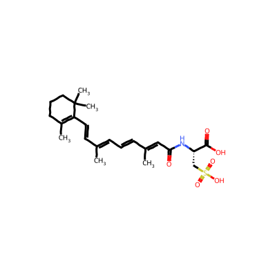 CC(C=CC1=C(C)CCCC1(C)C)=CC=C/C(C)=C/C(=O)N[C@@H](CS(=O)(=O)O)C(=O)O